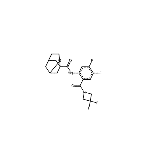 O=C(c1cc(F)c(F)cc1NC(=O)C12CC3CC(CC(C3)O1)C2)N1CC(F)(F)C1